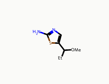 CCC(OC)c1cnc(N)s1